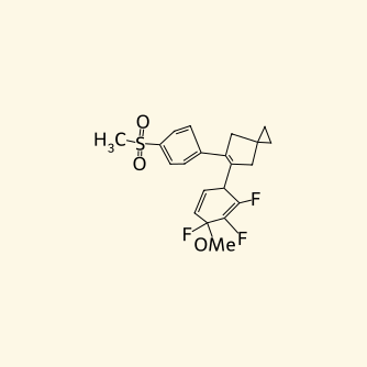 COC1(F)C=CC(C2=C(c3ccc(S(C)(=O)=O)cc3)CC3(CC3)C2)C(F)=C1F